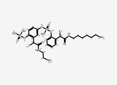 NCCCCCCNC(=O)C(F)c1ccccc1OP(=O)(O)Oc1ccc(OP(=O)(O)O)c(C(F)C(=O)NCCN)c1